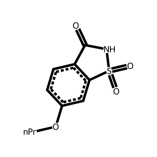 CCCOc1ccc2c(c1)S(=O)(=O)NC2=O